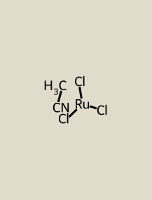 CC#N.[Cl][Ru]([Cl])[Cl]